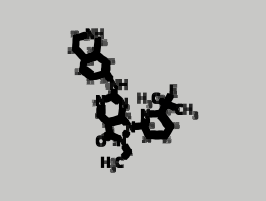 CCn1c(=O)c2cnc(Nc3ccc4c(c3)CNCC4)nc2n1-c1cccc(C(C)(C)F)n1